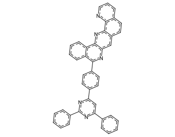 c1ccc(-c2cc(-c3ccc(-c4nc5cc6ccc7cccnc7c6nc5c5ccccc45)cc3)nc(-c3ccccc3)n2)cc1